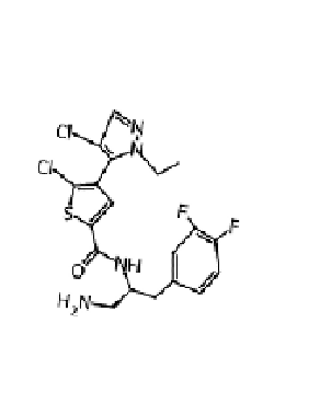 CCn1ncc(Cl)c1-c1cc(C(=O)N[C@H](CN)Cc2ccc(F)c(F)c2)sc1Cl